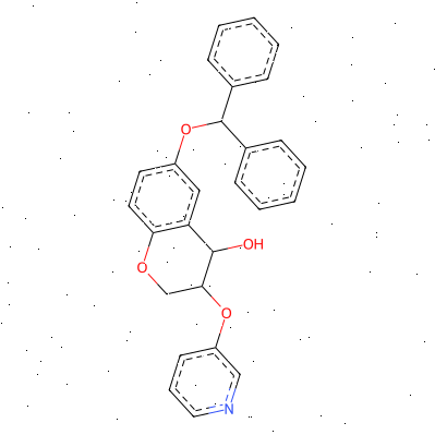 OC1c2cc(OC(c3ccccc3)c3ccccc3)ccc2OCC1Oc1cccnc1